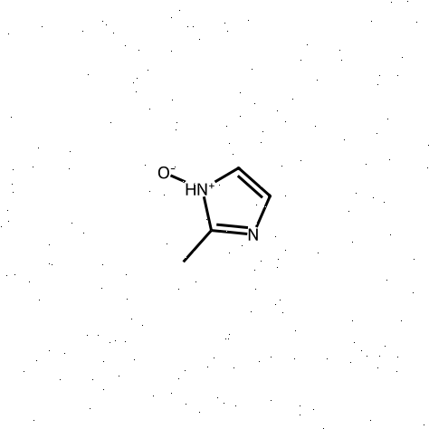 CC1=NC=C[NH+]1[O-]